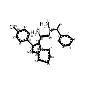 CC(c1ccccc1)N(N)/C=C(\N)c1c(-c2ccc(Cl)cc2)nc2ccccn12